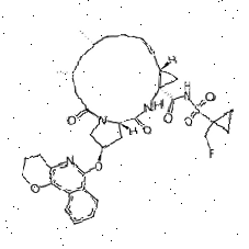 C[C@@H]1CC/C=C\[C@@H]2C[C@@]2(C(=O)NS(=O)(=O)C2(CF)CC2)NC(=O)[C@@H]2C[C@@H](Oc3nc4c(c5ccccc35)OCCC4)CN2C(=O)C[C@H](C)C1